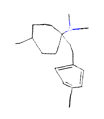 Cc1ccc(CC2(N(C)C)CCC(C)CC2)cc1